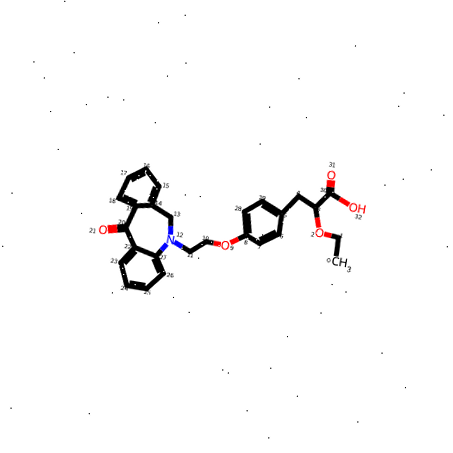 CCOC(Cc1ccc(OCCN2Cc3ccccc3C(=O)c3ccccc32)cc1)C(=O)O